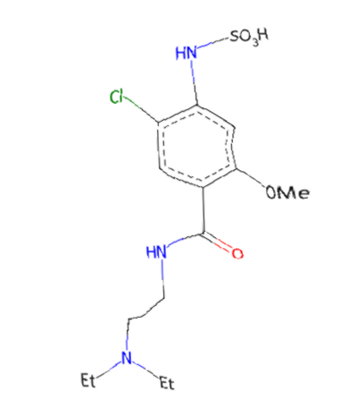 CCN(CC)CCNC(=O)c1cc(Cl)c(NS(=O)(=O)O)cc1OC